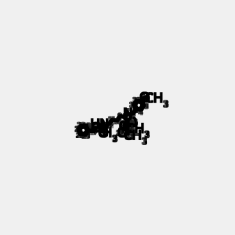 COc1ccc(C=NC(CCCCNC(=O)OCc2ccccc2)C(=O)OC(C)(C)C)cc1